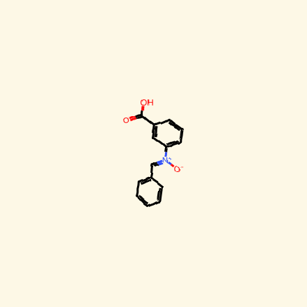 O=C(O)c1cccc([N+]([O-])=Cc2ccccc2)c1